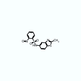 Cc1nc2cc(NS(=O)(=O)c3ccccc3N=O)ccc2s1